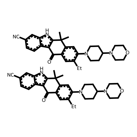 CCc1cc2c(cc1N1CCC(N3CCOCC3)CC1)C(C)(C)c1[nH]c3cc(C#N)ccc3c1C2=O.CCc1cc2c(cc1N1CCC(N3CCOCC3)CC1)C(C)(C)c1[nH]c3cc(C#N)ccc3c1C2=O